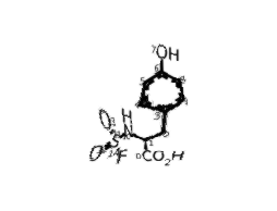 O=C(O)[C@H](Cc1ccc(O)cc1)NS(=O)(=O)F